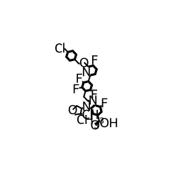 CC1(C)COCC1n1c(Cc2c(F)cc(-c3ccc(F)c(OCc4ccc(Cl)cc4)n3)c(F)c2F)nc2c(F)cc(C(=O)O)cc21